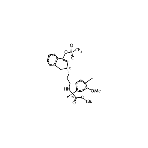 COc1cc([C@@](C)(NCCC[C@H]2C=C(OS(=O)(=O)C(F)(F)F)c3ccccc3C2)C(=O)OC(C)(C)C)ccc1F